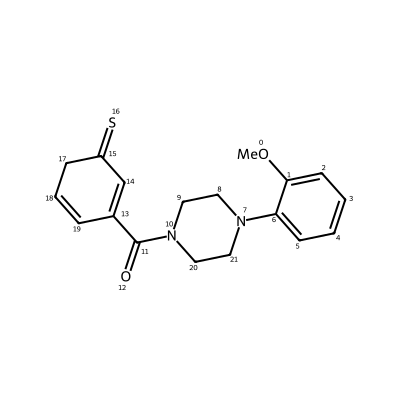 COc1ccccc1N1CCN(C(=O)C2=CC(=S)CC=C2)CC1